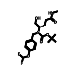 CNC(=O)CC[C@@H](CO)N(Cc1ccc(OC(F)F)cc1)C(=O)OC(C)(C)C